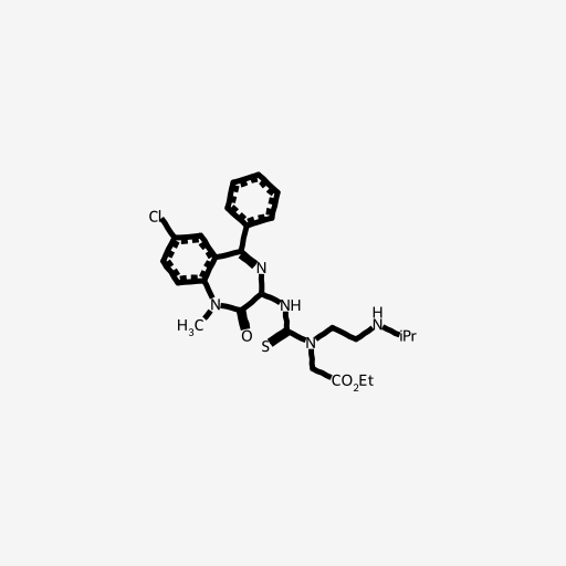 CCOC(=O)CN(CCNC(C)C)C(=S)NC1N=C(c2ccccc2)c2cc(Cl)ccc2N(C)C1=O